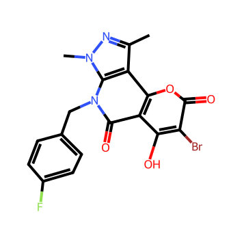 Cc1nn(C)c2c1c1oc(=O)c(Br)c(O)c1c(=O)n2Cc1ccc(F)cc1